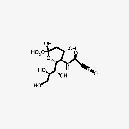 O=P#CC(=O)N[C@H]1[C@H]([C@H](O)[C@H](O)CO)OC(O)(C(=O)O)C[C@@H]1O